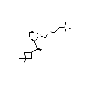 C[Si](C)(C)CCOCn1ncnc1C(=O)C1CC(F)(F)C1